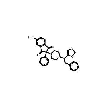 Cc1ccc2c(c1)C(=O)C(c1ccccc1)(N1CCN(C(Cc3ccccc3)C3=COCO3)CC1)C2=O